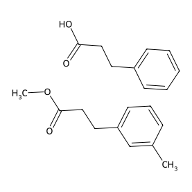 COC(=O)CCc1cccc(C)c1.O=C(O)CCc1ccccc1